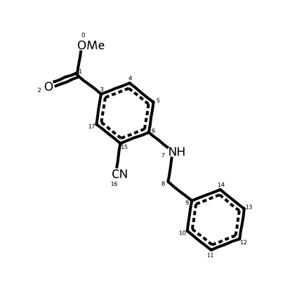 COC(=O)c1ccc(NCc2ccccc2)c(C#N)c1